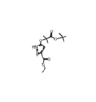 CCOC(=O)c1cc(OC(C)(C)C(=O)OC(C)(C)C)[nH]n1